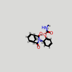 CNC(=O)Oc1ccccc1N1C(=O)c2cccc(c2)C1=O